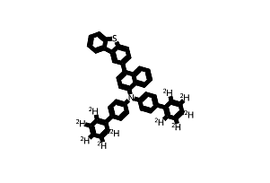 [2H]c1c([2H])c([2H])c(-c2ccc(N(c3ccc(-c4c([2H])c([2H])c([2H])c([2H])c4[2H])cc3)c3ccc(-c4ccc5sc6ccccc6c5c4)c4ccccc34)cc2)c([2H])c1[2H]